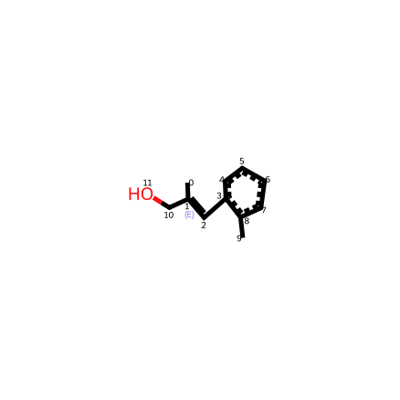 C/C(=C\c1ccccc1C)CO